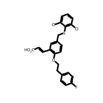 O=C(O)/C=C/c1cc(CSc2c(Cl)cccc2Cl)ccc1OCCc1ccc(F)cc1